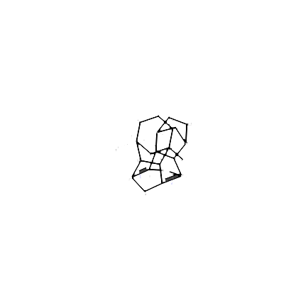 CC12CCC[C@@](C)(C1)C1/C3=C4\C/C(=C(/C3)C12)C1C2CCC(C2)C41